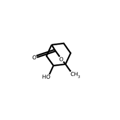 CC12CCC(CC1O)C(=O)O2